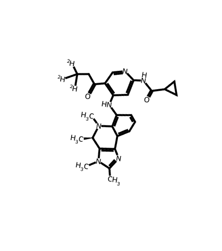 [2H]C([2H])([2H])CC(=O)c1cnc(NC(=O)C2CC2)cc1Nc1cccc2c1N(C)[C@H](C)c1c-2nc(C)n1C